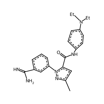 CCN(CC)c1ccc(NC(=O)c2cc(C)nn2-c2cccc(C(=N)N)c2)cc1